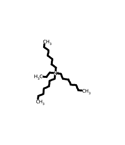 CCCCCCC[N+](CCC)(CCCCCCC)CCCCCCC